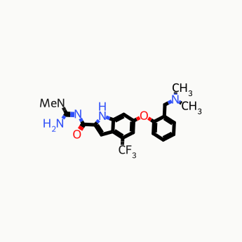 CNC(N)=NC(=O)c1cc2c(C(F)(F)F)cc(Oc3ccccc3CN(C)C)cc2[nH]1